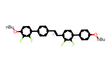 CCCCOc1ccc(-c2ccc(/C=C/c3ccc(-c4ccc(OCCCC)c(F)c4F)cc3)c(F)c2F)cc1